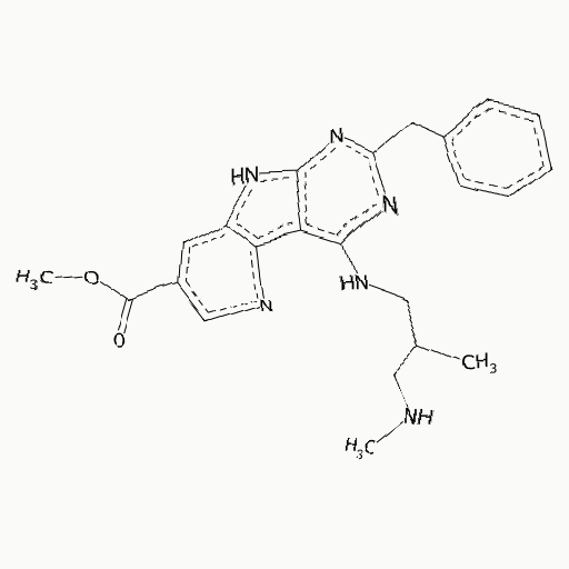 CNCC(C)CNc1nc(Cc2ccccc2)nc2[nH]c3cc(C(=O)OC)cnc3c12